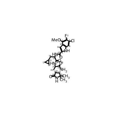 COc1c(F)c(Cl)cc2[nH]c(C(=O)NC(CC3CC3)C(=O)NC(C[C@@H]3CC(C)(C)NC3=O)C(N)=O)cc12